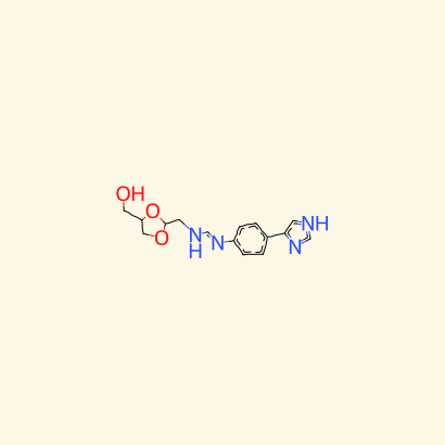 OCC1COC(CNC=Nc2ccc(-c3c[nH]cn3)cc2)O1